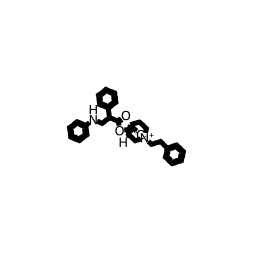 O=C(O[C@H]1C[N+]2(CCc3ccccc3)CCC1CC2)C(CNc1ccccc1)c1ccccc1